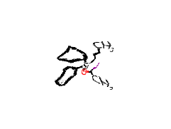 CCCC[Si](OC(C)I)(c1ccccc1)c1ccccc1